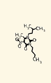 CCCCn1c(=O)c([N+](=O)[O-])c(C)n(CCC(C)C)c1=O